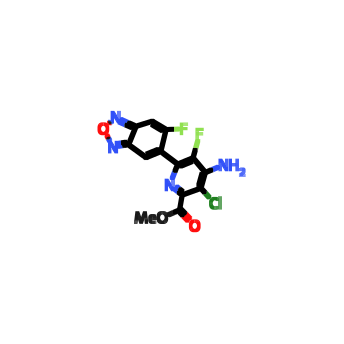 COC(=O)c1nc(-c2cc3nonc3cc2F)c(F)c(N)c1Cl